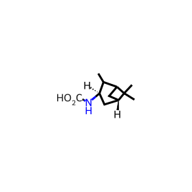 CC1C2C[C@@H](C[C@H]1NC(=O)O)C2(C)C